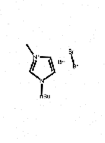 BrBr.CCCCn1cc[n+](C)c1.[Br-]